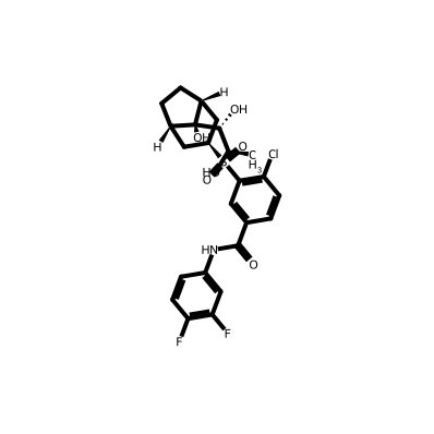 C[C@@H](O)[C@@H](O)[C@@]1(O)[C@@H]2CC[C@H]1C[C@H](S(=O)(=O)c1cc(C(=O)Nc3ccc(F)c(F)c3)ccc1Cl)C2